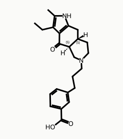 CCc1c(C)[nH]c2c1C(=O)[C@@H]1CN(CCCc3cccc(C(=O)O)c3)CC[C@H]1C2